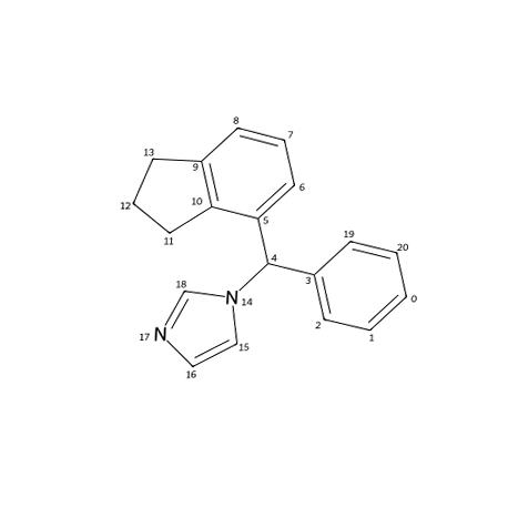 c1ccc(C(c2cccc3c2CCC3)n2ccnc2)cc1